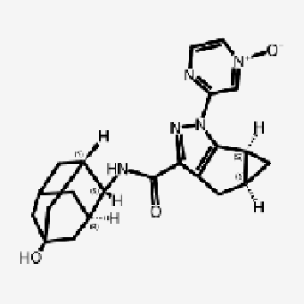 O=C(N[C@@H]1[C@@H]2CC3C[C@H]1CC(O)(C3)C2)c1nn(-c2c[n+]([O-])ccn2)c2c1C[C@@H]1C[C@H]21